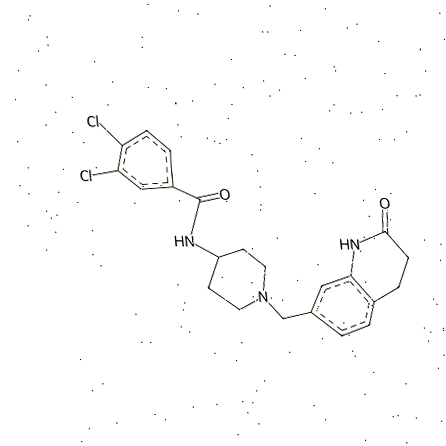 O=C1CCc2ccc(CN3CCC(NC(=O)c4ccc(Cl)c(Cl)c4)CC3)cc2N1